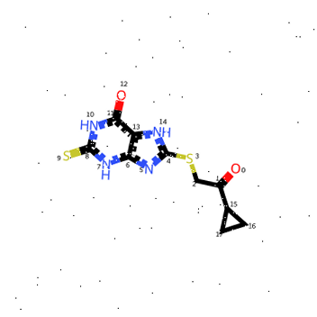 O=C(CSc1nc2[nH]c(=S)[nH]c(=O)c2[nH]1)C1CC1